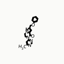 Cc1cc(N2CCn3nc(COc4ccccc4)cc3C2=O)ncn1